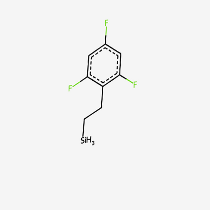 Fc1cc(F)c(CC[SiH3])c(F)c1